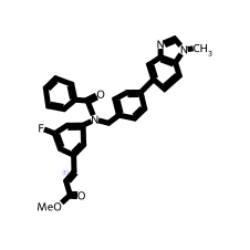 COC(=O)/C=C/c1cc(F)cc(N(Cc2ccc(-c3ccc4c(c3)ncn4C)cc2)C(=O)c2ccccc2)c1